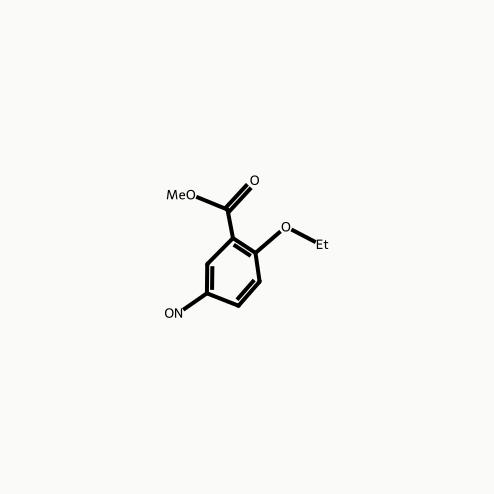 CCOc1ccc(N=O)cc1C(=O)OC